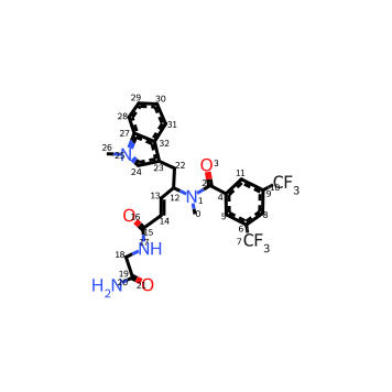 CN(C(=O)c1cc(C(F)(F)F)cc(C(F)(F)F)c1)C(C=CC(=O)NCC(N)=O)Cc1cn(C)c2ccccc12